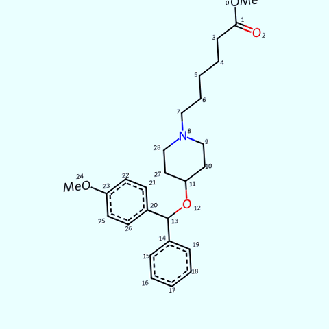 COC(=O)CCCCCN1CCC(OC(c2ccccc2)c2ccc(OC)cc2)CC1